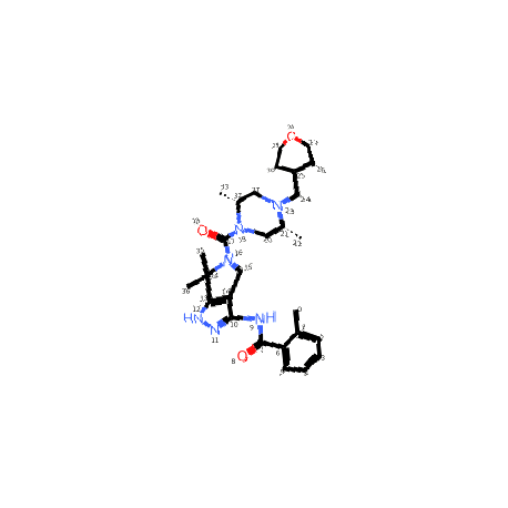 Cc1ccccc1C(=O)Nc1n[nH]c2c1CN(C(=O)N1C[C@@H](C)N(CC3CCOCC3)C[C@H]1C)C2(C)C